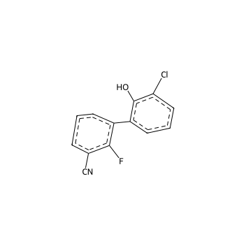 N#Cc1cccc(-c2cccc(Cl)c2O)c1F